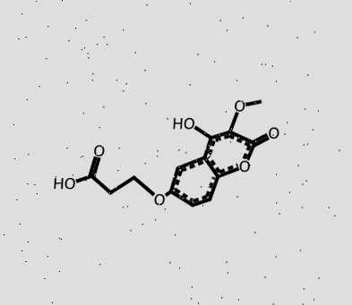 COc1c(O)c2cc(OCCC(=O)O)ccc2oc1=O